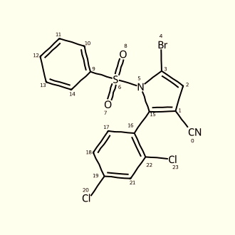 N#Cc1cc(Br)n(S(=O)(=O)c2ccccc2)c1-c1ccc(Cl)cc1Cl